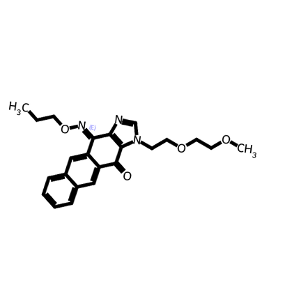 CCCO/N=C1\c2cc3ccccc3cc2C(=O)c2c1ncn2CCOCCOC